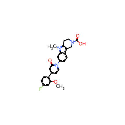 COc1cc(F)ccc1-c1ccn(-c2ccc3c4c(n(C)c3c2)CCN(C(=O)O)C4)c(=O)c1